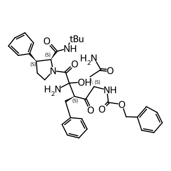 CC(C)(C)NC(=O)[C@@H]1[C@H](c2ccccc2)CCN1C(=O)C(N)(O)[C@H](Cc1ccccc1)C(=O)[C@H](CC(N)=O)NC(=O)OCc1ccccc1